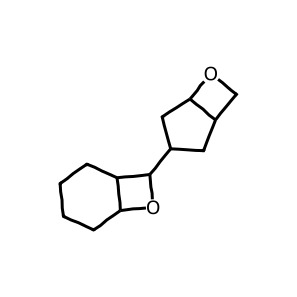 C1CCC2C(C1)OC2C1CC2COC2C1